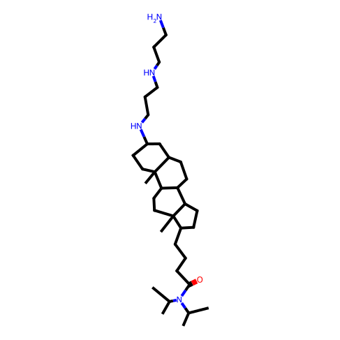 CC(C)N(C(=O)CCCC1CCC2C3CCC4CC(NCCCNCCCN)CCC4(C)C3CCC12C)C(C)C